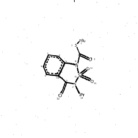 CCCCSC(=O)N1c2ccccc2C(=O)N(C(C)C)S1(=O)=O